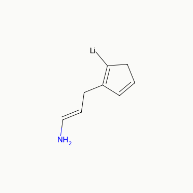 [Li][C]1=C(CC=CN)C=CC1